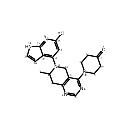 CC1Cc2ncnc(N3CCC(=O)CC3)c2CN1c1cc(Cl)nc2[nH]ccc12